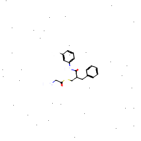 NCC(=O)SCC(Cc1ccccc1)C(=O)Nc1cccc(C(=O)O)c1